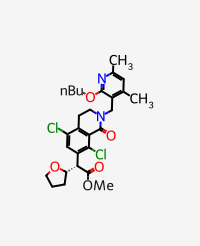 CCCCOc1nc(C)cc(C)c1CN1CCc2c(Cl)cc([C@H](C(=O)OC)C3CCCO3)c(Cl)c2C1=O